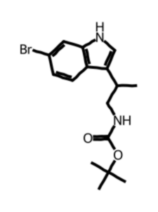 CC(CNC(=O)OC(C)(C)C)c1c[nH]c2cc(Br)ccc12